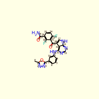 Cc1nnc(-c2cccc(Nc3ncnc4[nH]cc(C(=O)c5c(F)ccc(C(N)=O)c5F)c34)c2)o1